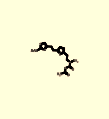 CC(=O)Nc1nc(CCc2ccc(CCN(N)C(=O)OC(N)=O)s2)cs1